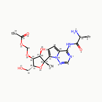 CC(C)[C@H](N)C(=O)Nc1ncnn2c([C@]3(C#N)O[C@H](CO)[C@@H](OCOC(=O)C(C)(C)C)[C@H]3O)ccc12